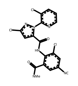 [C-]#[N+]c1cc(Cl)c(NC(=O)c2cc(Cl)nn2-c2ncccc2Cl)c(C(=O)NC)c1